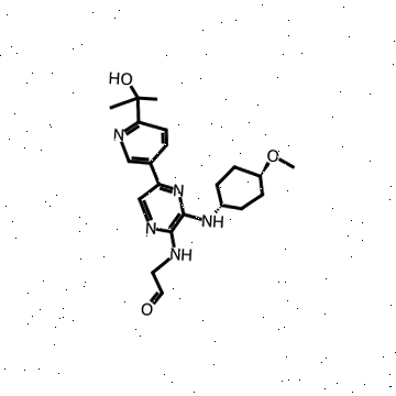 CO[C@H]1CC[C@H](Nc2nc(-c3ccc(C(C)(C)O)nc3)cnc2NCC=O)CC1